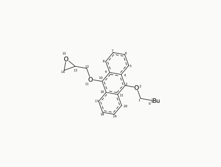 CCC(C)COc1c2ccccc2c(OCC2CO2)c2ccccc12